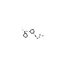 Cc1nnc([C@](C)(O)C#Cc2cccc(-n3nc(C(N)=O)c4ccccc43)c2)o1